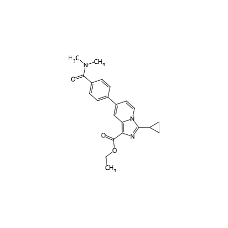 CCOC(=O)c1nc(C2CC2)n2ccc(-c3ccc(C(=O)N(C)C)cc3)cc12